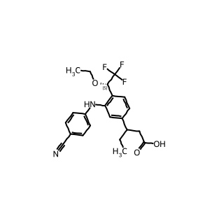 CCO[C@@H](c1ccc(C(CC)CC(=O)O)cc1Nc1ccc(C#N)cc1)C(F)(F)F